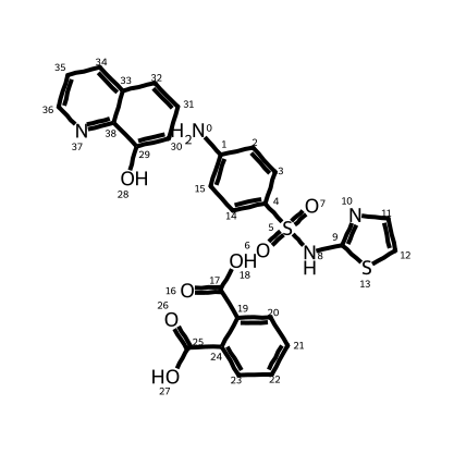 Nc1ccc(S(=O)(=O)Nc2nccs2)cc1.O=C(O)c1ccccc1C(=O)O.Oc1cccc2cccnc12